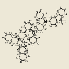 CC1(C)c2ccccc2-c2cc(-n3c4ccccc4c4c5c6ccccc6n(-c6cccc7c6-c6ccccc6C7c6nc7ccccc7nc6-c6ccc7ccccc7c6)c5ccc43)ccc21